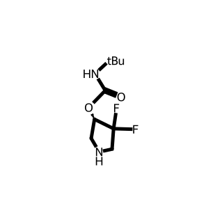 CC(C)(C)NC(=O)O[C@H]1CNCC1(F)F